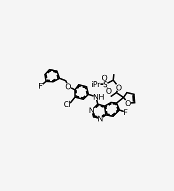 CC(OC(C)S(=O)(=O)C(C)C)C1(c2cc3c(Nc4ccc(OCc5cccc(F)c5)c(Cl)c4)ncnc3cc2F)CC=CO1